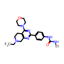 CCNC(=O)Nc1ccc(-c2nc3c(c(N4CCOCC4)n2)CCN(CC(F)(F)F)C3)cc1